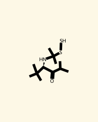 CC(C)C(=O)[C@@H](NC(C)(C)SS)C(C)(C)C